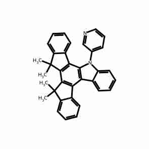 CC1(C)c2ccccc2-c2c1c1c(c3c2c2ccccc2n3-c2cccnc2)-c2ccccc2C1(C)C